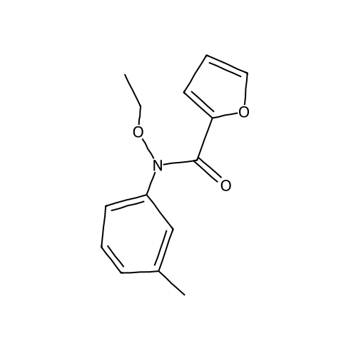 CCON(C(=O)c1ccco1)c1cccc(C)c1